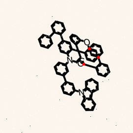 c1ccc(-c2ccccc2-c2ccc3c(c2)C2(c4ccccc4Oc4ccccc42)c2cc(-c4ccccc4-c4ccccc4)ccc2N3c2cccc(-c3cccc(-n4c5ccccc5c5ccccc54)c3)c2)cc1